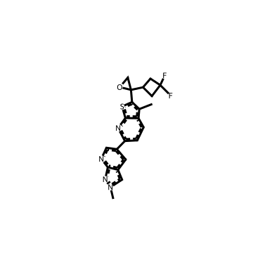 Cc1c(C2(C3CC(F)(F)C3)CO2)sc2nc(-c3cnc4nn(C)cc4c3)ccc12